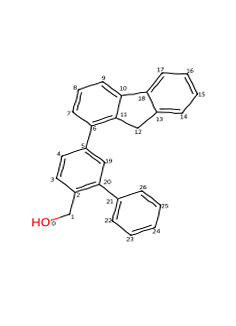 OCc1ccc(-c2cccc3c2Cc2ccccc2-3)cc1-c1ccccc1